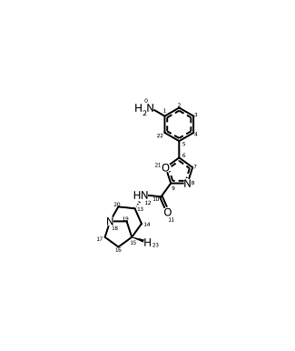 Nc1cccc(-c2cnc(C(=O)N[C@@H]3C[C@@H]4CCN(C4)C3)o2)c1